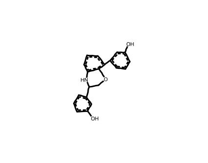 Oc1cccc(-c2cccc3c2OCC(c2cccc(O)c2)N3)c1